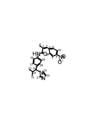 C/C(=C/c1ccc([N+](=O)[O-])cc1)C(=O)Nc1ccc(C(C(C)C)n2ccnc2)cc1